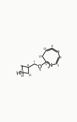 C1=C/C=C\N=C(\OCC2CNC2)CC=1